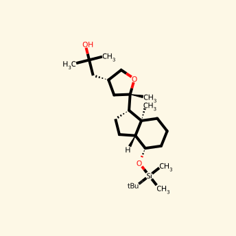 CC(C)(O)C[C@@H]1CO[C@](C)([C@H]2CC[C@H]3[C@@H](O[Si](C)(C)C(C)(C)C)CCC[C@@]32C)C1